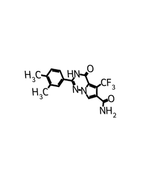 Cc1ccc(-c2nn3cc(C(N)=O)c(C(F)(F)F)c3c(=O)[nH]2)cc1C